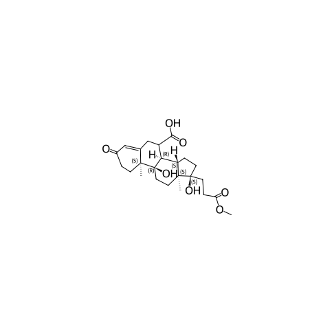 COC(=O)CC[C@@]1(O)CC[C@H]2[C@@H]3C(C(=O)O)CC4=CC(=O)CC[C@]4(C)[C@@]3(O)CC[C@@]21C